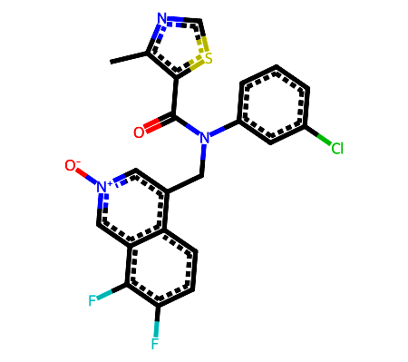 Cc1ncsc1C(=O)N(Cc1c[n+]([O-])cc2c(F)c(F)ccc12)c1cccc(Cl)c1